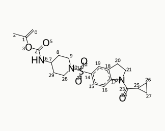 C=C(C)OC(=O)NC1CCN(S(=O)(=O)c2ccc3c(c2)CCN3C(=O)C2CC2)CC1